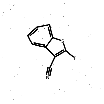 N#Cc1c(F)sc2ccccc12